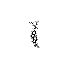 C[C@]12CC[C@@H]3c4ccc(OC(=O)N(CCCl)CCCl)cc4CC[C@H]3[C@@H]1CC[C@@H]2O[PH](=O)O